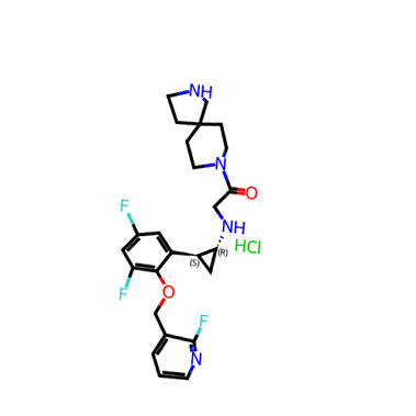 Cl.O=C(CN[C@@H]1C[C@H]1c1cc(F)cc(F)c1OCc1cccnc1F)N1CCC2(CCNC2)CC1